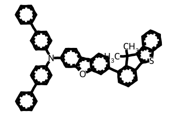 CC1(C)c2c(-c3ccc4c(c3)oc3cc(N(c5ccc(-c6ccccc6)cc5)c5ccc(-c6ccccc6)cc5)ccc34)cccc2-c2sc3ccccc3c21